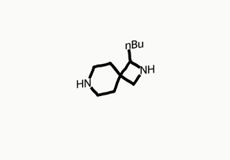 CCCCC1NCC12CCNCC2